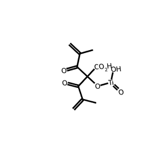 C=C(C)C(=O)C([O][Ti](=[O])[OH])(C(=O)O)C(=O)C(=C)C